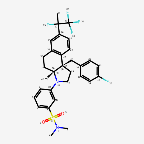 CN(C)S(=O)(=O)c1cccc(N2CC[C@@]3(Cc4ccc(F)cc4)c4ccc(C(C)(F)C(F)(F)F)cc4CC[C@@H]23)c1